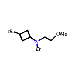 CCN(CCOC)C1CC(C(C)(C)C)C1